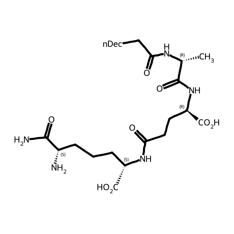 CCCCCCCCCCCC(=O)N[C@H](C)C(=O)N[C@H](CCC(=O)N[C@@H](CCC[C@H](N)C(N)=O)C(=O)O)C(=O)O